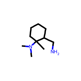 CN(C)C1(C)CCCCC1CN